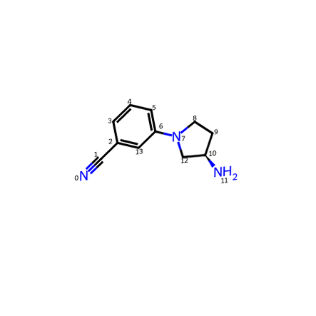 N#Cc1cccc(N2CC[C@@H](N)C2)c1